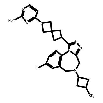 Cc1nccc(N2CC3(CC(c4nnc5n4-c4ccc(Cl)cc4CN(C4CC(C(F)(F)F)C4)C5)C3)C2)n1